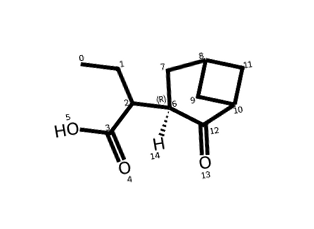 CCC(C(=O)O)[C@H]1CC2CC(C2)C1=O